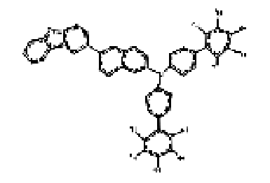 [2H]c1c([2H])c([2H])c(-c2ccc(N(c3ccc(-c4c([2H])c([2H])c([2H])c([2H])c4[2H])cc3)c3ccc4cc(-c5ccc6oc7ccccc7c6c5)ccc4c3)cc2)c([2H])c1[2H]